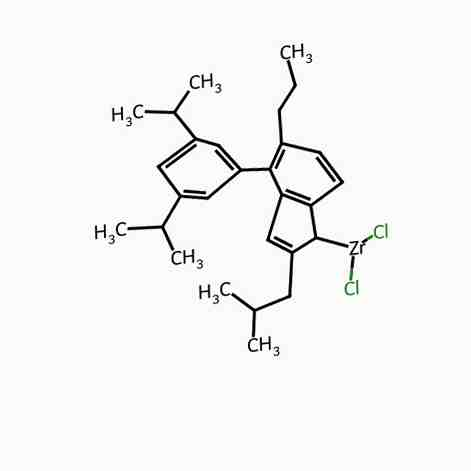 CCCc1ccc2c(c1-c1cc(C(C)C)cc(C(C)C)c1)C=C(CC(C)C)[CH]2[Zr]([Cl])[Cl]